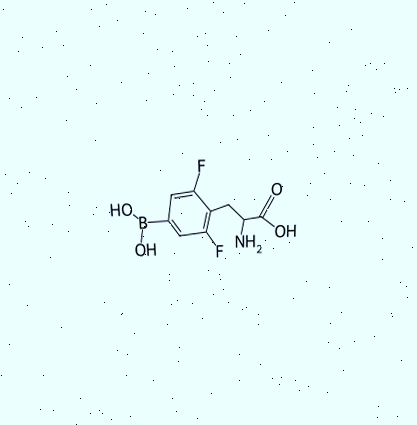 NC(Cc1c(F)cc(B(O)O)cc1F)C(=O)O